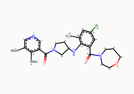 CNc1cncc(C(=O)N2CCC(Nc3c(C(=O)N4CCCOCC4)cc(Br)cc3[N+](=O)[O-])C2)c1NC